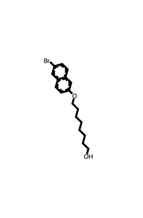 OCCCCCCCCOc1ccc2cc(Br)ccc2c1